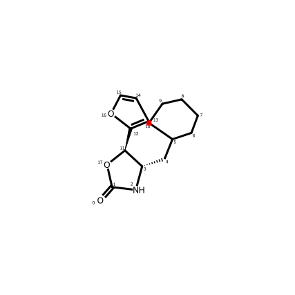 O=C1N[C@@H](CC2CCCCC2)[C@H](c2ccco2)O1